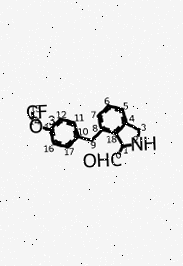 O=CC1NCc2cccc(Cc3ccc(OC(F)(F)F)cc3)c21